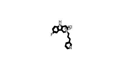 Cl.Cl.Fc1ccc2[nH]c3c(c2c1)CN(CCCc1cccnc1)CC3